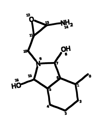 CC1CCCC2C1C(O)N(CC1OC1N)C2O